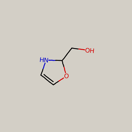 OCC1NC=CO1